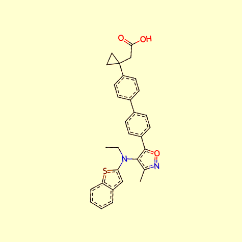 CCN(c1cc2ccccc2s1)c1c(C)noc1-c1ccc(-c2ccc(C3(CC(=O)O)CC3)cc2)cc1